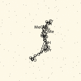 CCC(C)C([C@@H](CC(=O)N1CCC[C@H]1[C@H](OC)[C@@H](C)C(=O)NS(=O)(=O)Cc1ccc(NC(=O)CNC(=O)C(NC(=O)CCOCCOCCOCCN2C(=O)C=CC2=O)C(C)C)cc1)OC)N(C)C(=O)CNC(=O)C(C(C)C)N(C)C